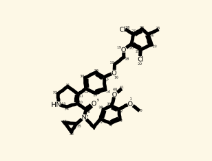 COc1ccc(CN(C(=O)C2=C(c3ccc(OCCOc4c(Cl)cc(C)cc4Cl)cc3)CCNC2)C2CC2)cc1OC